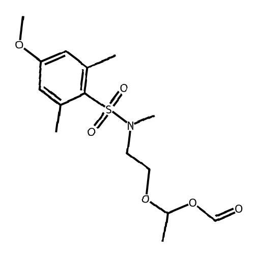 COc1cc(C)c(S(=O)(=O)N(C)CCOC(C)OC=O)c(C)c1